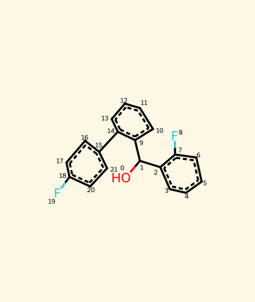 OC(c1ccccc1F)c1ccccc1-c1ccc(F)cc1